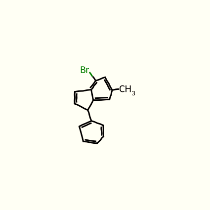 Cc1cc(Br)c2c(c1)C(c1ccccc1)C=C2